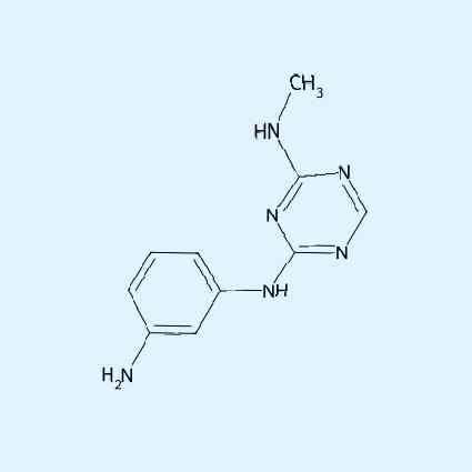 CNc1ncnc(Nc2cccc(N)c2)n1